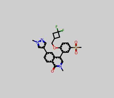 Cn1cc(-c2ccc3c(=O)n(C)cc(-c4cc(S(C)(=O)=O)ccc4OCC4CC(F)(F)C4)c3c2)cn1